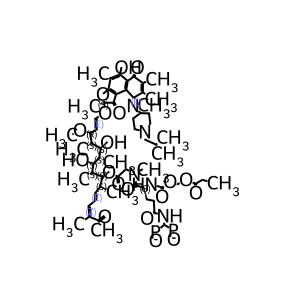 CCC(=O)OCOC(=O)N[C@@H](CCC(=O)NC(P=O)P=O)C(=O)N(C)CC(=O)O[C@H]([C@@H](C)[C@@H](O)[C@@H](C)[C@H](O)[C@H](C)[C@H](/C=C/O[C@@]1(C)Oc2c(C)c(O)c3c(c2C1=O)/C(=N/C1(C)CCN(CC(C)C)CC1)C(C)=C(C)C3=O)OC)[C@@H](C)/C=C/C=C(/C)C(C)=O